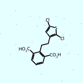 O=C(O)c1cccc(C(=O)O)c1CCc1cc(Cl)sc1Cl